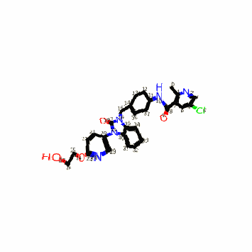 Cc1ncc(Cl)cc1C(=O)NC1CCC(Cn2c(=O)n(-c3ccc(OCCO)nc3)c3ccccc32)CC1